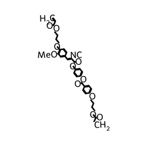 [C-]#[N+]/C(=C\c1ccc(OCCCCOC(=O)C=C)c(OC)c1)C(=O)Oc1ccc(OC(=O)c2ccc(OCCCCOC(=O)C=C)cc2)cc1